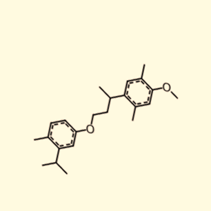 COc1cc(C)c(C(C)CCOc2ccc(C)c(C(C)C)c2)cc1C